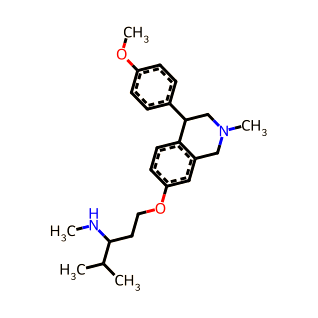 CNC(CCOc1ccc2c(c1)CN(C)CC2c1ccc(OC)cc1)C(C)C